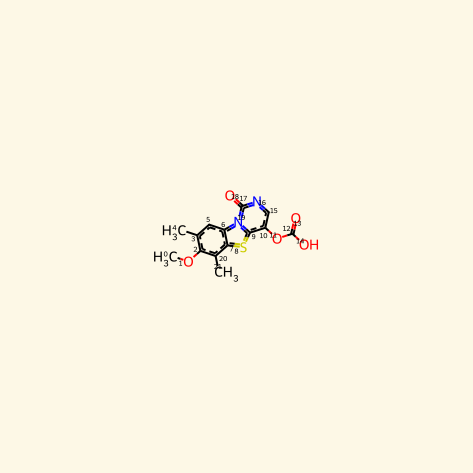 COc1c(C)cc2c(sc3c(OC(=O)O)cnc(=O)n32)c1C